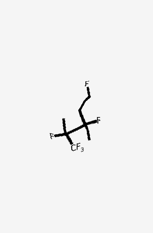 CC(F)(CCF)C(C)(F)C(F)(F)F